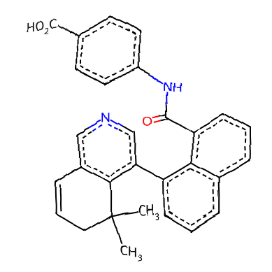 CC1(C)CC=Cc2cncc(-c3cccc4cccc(C(=O)Nc5ccc(C(=O)O)cc5)c34)c21